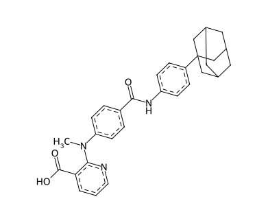 CN(c1ccc(C(=O)Nc2ccc(C34CC5CC(CC(C5)C3)C4)cc2)cc1)c1ncccc1C(=O)O